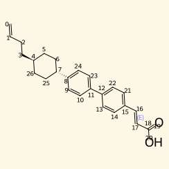 C=CCC[C@H]1CC[C@H](c2ccc(-c3ccc(/C=C/C(=O)O)cc3)cc2)CC1